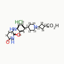 Cl.O=C1CCC(Nc2ccc(C3CCN(C4CC(C(=O)O)C4)CC3)cc2)C(=O)N1